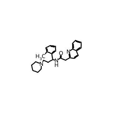 Cc1ccccc1C(CCN1CCCCC1)NC(=O)Cc1ccc2ccccc2n1